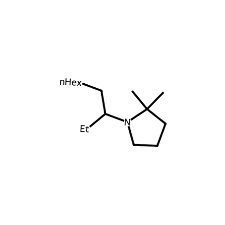 CCCCCCCC(CC)N1CCCC1(C)C